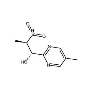 Cc1cnc([C@H](O)[C@@H](C)[SH](=O)=O)nc1